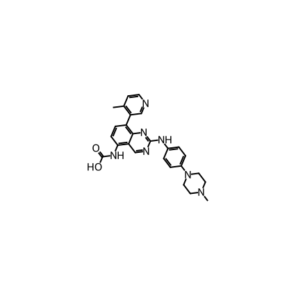 Cc1ccncc1-c1ccc(NC(=O)O)c2cnc(Nc3ccc(N4CCN(C)CC4)cc3)nc12